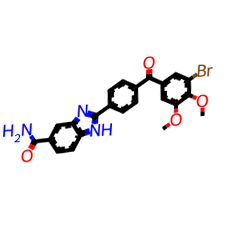 COc1cc(C(=O)c2ccc(-c3nc4cc(C(N)=O)ccc4[nH]3)cc2)cc(Br)c1OC